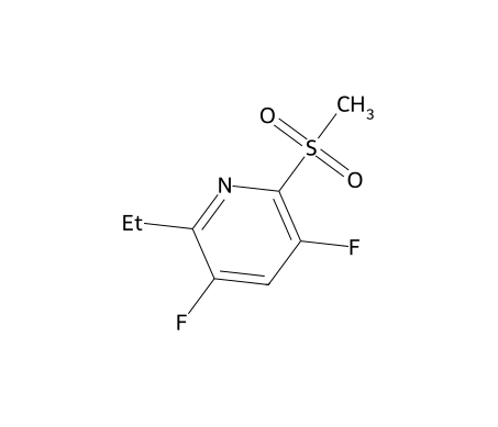 CCc1nc(S(C)(=O)=O)c(F)cc1F